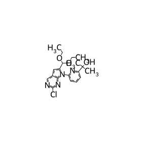 CCOC(OCC)c1cc2cnc(Cl)nc2n1-c1cccc(C(C)(C)O)n1